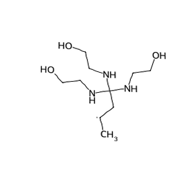 C[CH]CC(NCCO)(NCCO)NCCO